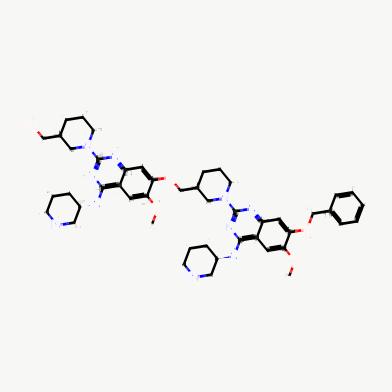 COc1cc2c(N[C@@H]3CCCNC3)nc(N3CCCC(COc4cc5nc(N6CCCC(CO)C6)nc(N[C@H]6CCCNC6)c5cc4OC)C3)nc2cc1OCc1ccccc1